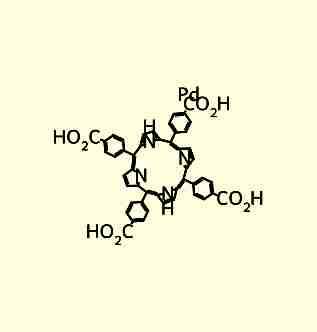 O=C(O)c1ccc(-c2c3nc(c(-c4ccc(C(=O)O)cc4)c4ccc([nH]4)c(-c4ccc(C(=O)O)cc4)c4nc(c(-c5ccc(C(=O)O)cc5)c5ccc2[nH]5)C=C4)C=C3)cc1.[Pd]